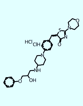 Cl.Cl.O=C1N=C(N2CCOCC2)S/C1=C/c1ccc(N2CCC(NCC(O)COc3ccccc3)CC2)cc1